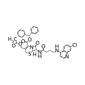 CC(=O)OCC1=C(C(=O)OC(c2ccccc2)c2ccccc2)N2C(=O)[C@@H](NC(=O)CCCNc3ccnc4cc(Cl)ccc34)[C@H]2SC1